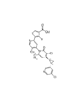 Cc1cnc(-c2scc(C(=O)O)c2F)cc1-n1c(C)cc([C@H]2C[C@@H]2c2cncc(Cl)c2)c(Cl)c1=O